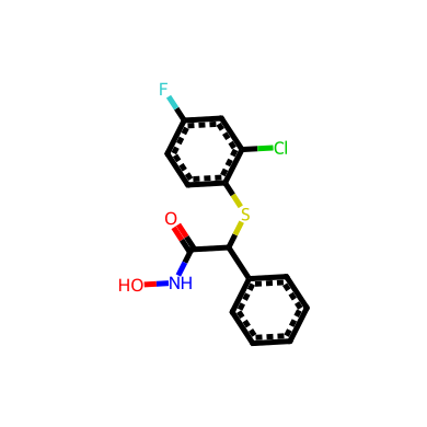 O=C(NO)C(Sc1ccc(F)cc1Cl)c1ccccc1